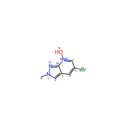 Cn1cc2cc(Br)c[n+](O)c2n1